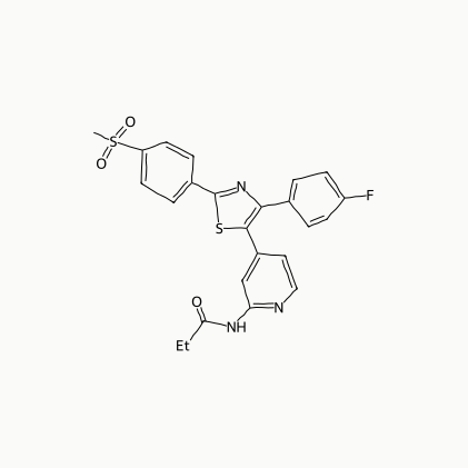 CCC(=O)Nc1cc(-c2sc(-c3ccc(S(C)(=O)=O)cc3)nc2-c2ccc(F)cc2)ccn1